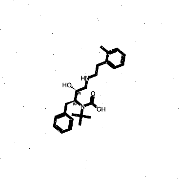 Cc1ccccc1CCNC[C@@H](O)[C@H](Cc1ccccc1)N(C(=O)O)C(C)(C)C